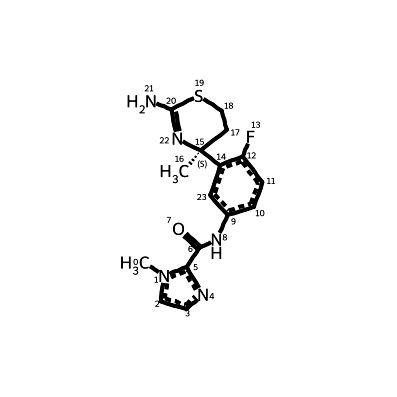 Cn1ccnc1C(=O)Nc1ccc(F)c([C@]2(C)CCSC(N)=N2)c1